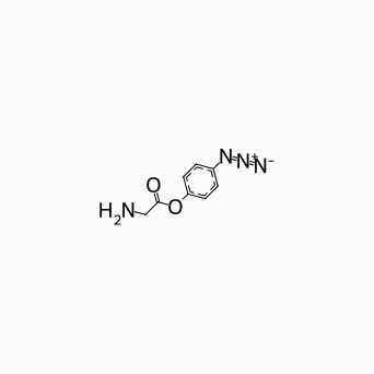 [N-]=[N+]=Nc1ccc(OC(=O)CN)cc1